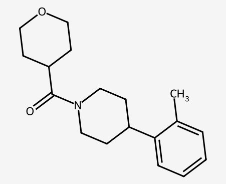 Cc1ccccc1C1CCN(C(=O)C2CCOCC2)CC1